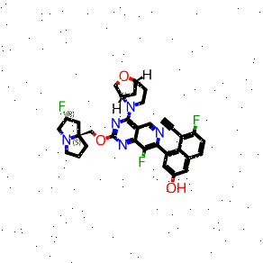 C#Cc1c(F)ccc2cc(O)cc(-c3ncc4c(N5CC[C@@H]6C[C@H]5CO6)nc(OC[C@@]56CCCN5C[C@H](F)C6)nc4c3F)c12